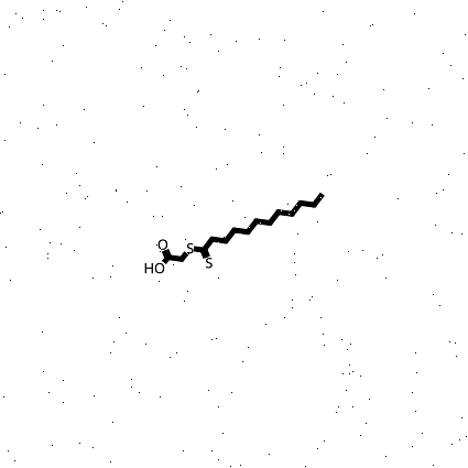 CCCCCCCCCCCC(=S)SCC(=O)O